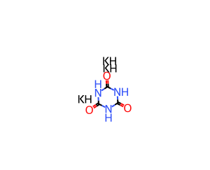 O=c1[nH]c(=O)[nH]c(=O)[nH]1.[KH].[KH].[KH]